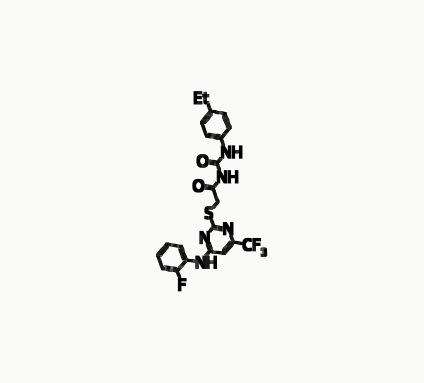 CCc1ccc(NC(=O)NC(=O)CSc2nc(Nc3ccccc3F)cc(C(F)(F)F)n2)cc1